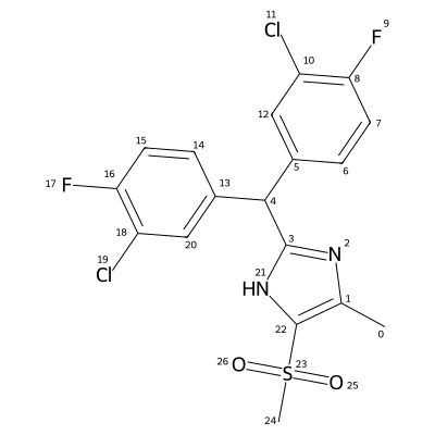 Cc1nc(C(c2ccc(F)c(Cl)c2)c2ccc(F)c(Cl)c2)[nH]c1S(C)(=O)=O